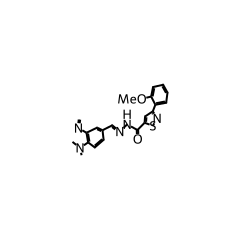 C=Nc1cc(/C=N/NC(=O)c2cc(-c3ccccc3OC)ns2)ccc1N(C)C